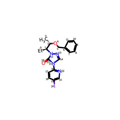 CC[C@@H]([C@H](C)OCc1ccccc1)n1ncn(-c2ccc(I)cn2)c1=O